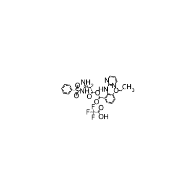 CCOc1cccc(C(=O)OC(=O)C[C@@H](N)NS(=O)(=O)c2ccccc2)c1Nc1ncccn1.O=C(O)C(F)(F)F